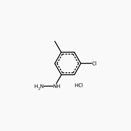 Cc1cc(Cl)cc(NN)c1.Cl